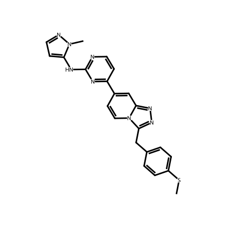 CSc1ccc(Cc2nnc3cc(-c4ccnc(Nc5ccnn5C)n4)ccn23)cc1